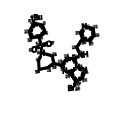 CC(C)(C)c1ccc(S(=O)(=O)N2CCCC(c3cc(NCc4cccnc4)n4ncc(Br)c4n3)C2)cc1